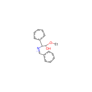 CCOC(O)C(/N=C\c1ccccc1)c1ccccc1